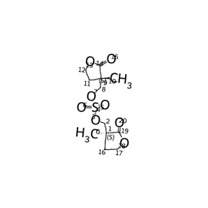 C[C@@]1(COS(=O)(=O)OC[C@]2(C)CCOC2=O)CCOC1=O